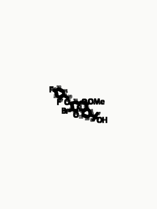 COC(=O)c1cc(C(C)(C)O)ccc1-n1c(C)cc(OCc2ccc(F)cc2F)c(Br)c1=O